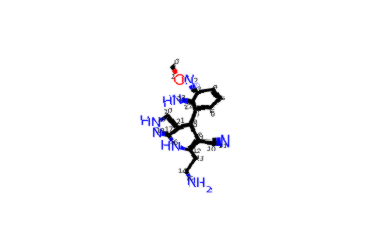 CO/N=C1/C=CC=C(C2C(C#N)=C(CCN)Nc3n[nH]cc32)C1=N